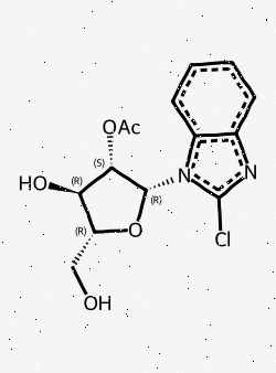 CC(=O)O[C@H]1[C@H](O)[C@@H](CO)O[C@H]1n1c(Cl)nc2ccccc21